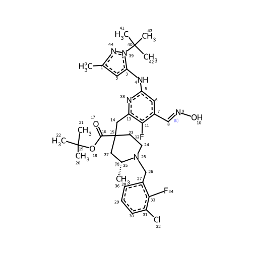 Cc1cc(Nc2cc(/C=N/O)c(F)c(CC3(C(=O)OC(C)(C)C)CCN(Cc4cccc(Cl)c4F)[C@H](C)C3)n2)n(C(C)(C)C)n1